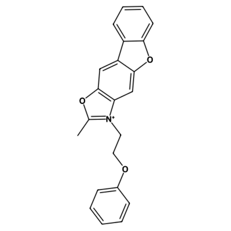 Cc1oc2cc3c(cc2[n+]1CCOc1ccccc1)oc1ccccc13